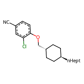 CCCCCCC[C@H]1CC[C@H](COc2ccc(C#N)cc2Cl)CC1